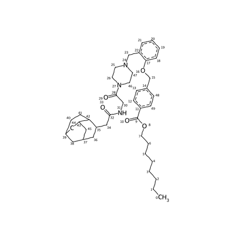 CCCCCCCCOC(=O)c1ccc(COc2ccccc2CN2CCN(C(=O)CNC(=O)CC3CC4CC5CCC3C(C5)C4)CC2)cc1